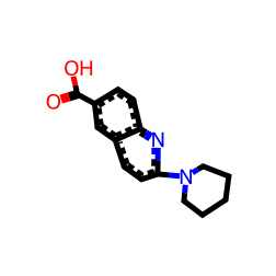 O=C(O)c1ccc2nc(N3CCCCC3)ccc2c1